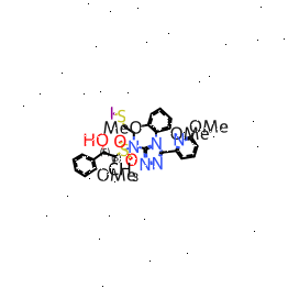 COc1cccc(-c2nnc(N(CCSI)S(=O)(=O)[C@@H](C)[C@@H](O)c3ccccc3OC)n2-c2c(OC)cccc2OC)n1